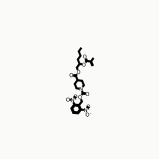 C=C(C)C(=O)OC(CCCC)COC(=O)C1CCN(C(=O)OCc2c([N+](=O)[O-])cccc2[N+](=O)[O-])CC1